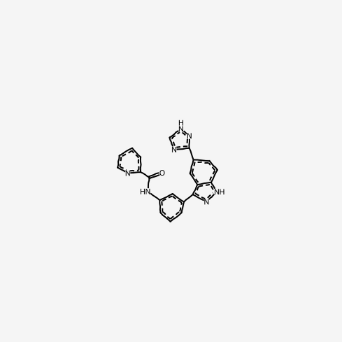 O=C(Nc1cccc(-c2n[nH]c3ccc(-c4nc[nH]n4)cc23)c1)c1ccccn1